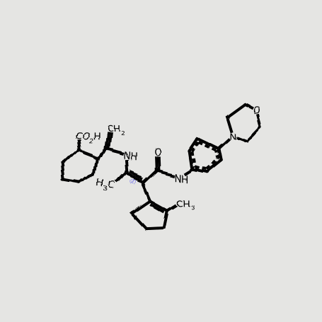 C=C(N/C(C)=C(\C(=O)Nc1ccc(N2CCOCC2)cc1)C1=C(C)CCC1)C1CCCCC1C(=O)O